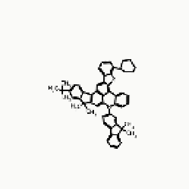 CC(C)(C)c1ccc2c(c1)C(C)(C)c1cc(N(c3ccc4c(c3)C(C)(C)c3ccccc3-4)c3ccccc3-c3cccc4c3sc3c(C5CCCCC5)cccc34)ccc1-2